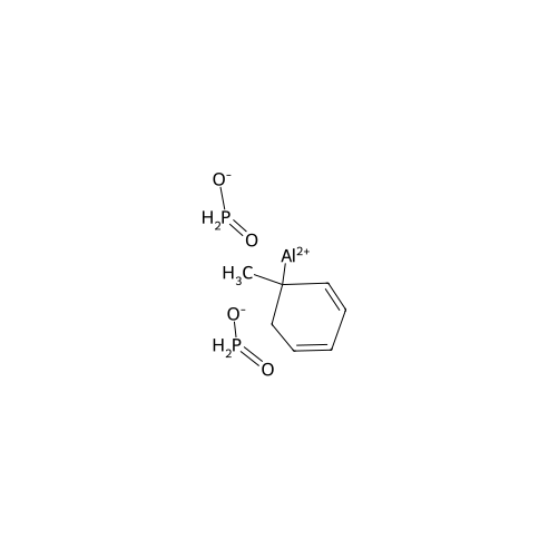 C[C]1([Al+2])C=CC=CC1.O=[PH2][O-].O=[PH2][O-]